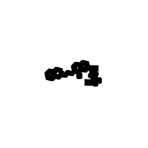 C[SH](=O)(S)N1CC(Nc2ccc3c(c2)C(=O)N(CCCN2CCc4ccccc4C2)CC3)C1